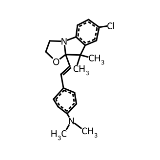 CN(C)c1ccc(C=CC23OCCN2c2ccc(Cl)cc2C3(C)C)cc1